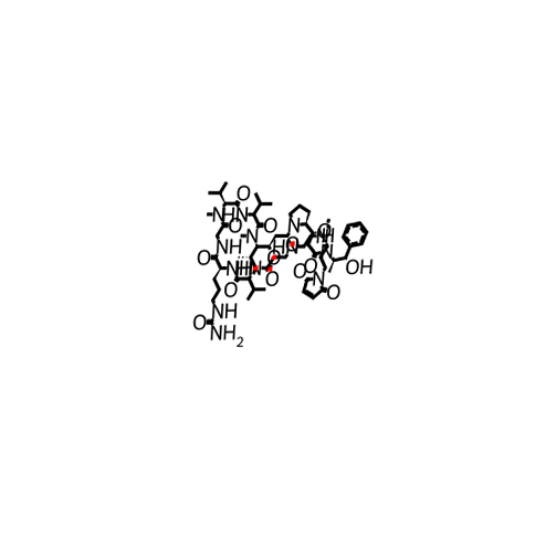 CC[C@H](C)[C@@H]([C@@H](CC(=O)N1CCC[C@H]1[C@H](OC)[C@@H](C)C(=O)N[C@H](C)[C@@H](O)c1ccccc1)OC)N(C)C(=O)C(NC(=O)[C@H](C(C)C)N(C)C(=O)CNC(=O)[C@H](CCCNC(N)=O)NC(=O)C(NC(=O)CCNCCN(C)CCCN1C(=O)C=CC1=O)C(C)C)C(C)C